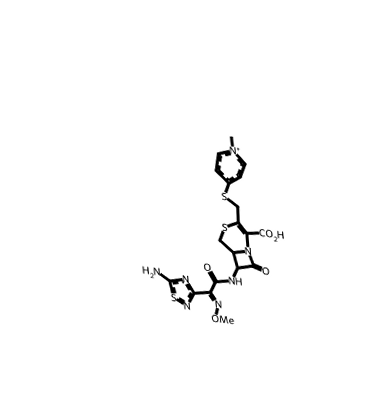 CON=C(C(=O)NC1C(=O)N2C(C(=O)O)=C(CSc3cc[n+](C)cc3)SCC12)c1nsc(N)n1